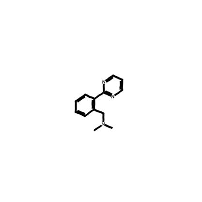 CN(C)Cc1[c]cccc1-c1ncccn1